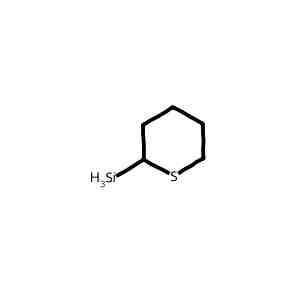 [SiH3]C1CCCCS1